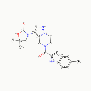 Cc1ccc2[nH]c(C(=O)N3CCn4ncc(N5CC(C)(C)OC5=O)c4C3)cc2c1